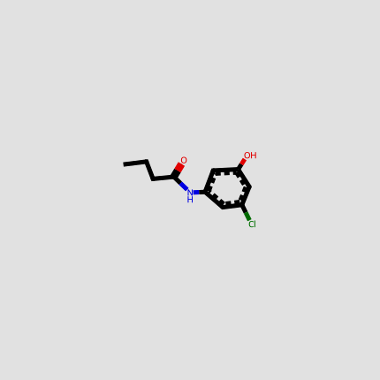 CCCC(=O)Nc1cc(O)cc(Cl)c1